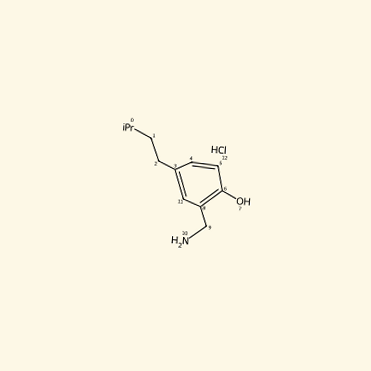 CC(C)CCc1ccc(O)c(CN)c1.Cl